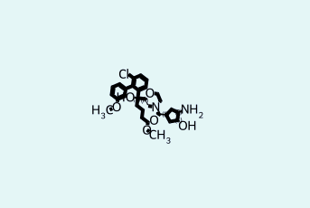 COCCCC[C@](O)(c1cccc(Cl)c1-c1cccc(OC)c1)[C@H]1CN(C(=O)[C@H]2C[C@@H](N)[C@@H](O)C2)CCO1